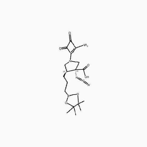 CC1(C)OB(CCC[C@H]2CN(c3c(N)c(=O)c3=O)C[C@@]2(N=[N+]=[N-])C(=O)O)OC1(C)C